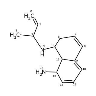 C=CC(C)NC1CC=CC2=CC=CC(N)C21